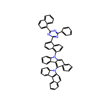 c1ccc(-c2nc(-c3cccc4ccccc34)nc(-c3cccc4c(-n5c6ccccc6c6c(-n7c8ccccc8c8c9ccccc9ccc87)c7ccccc7cc65)cccc34)n2)cc1